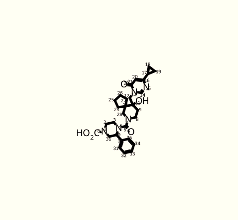 O=C(O)N1CCN(C(=O)N2CCC(O)(Cn3cnc(C4CC4)cc3=O)C3(CCCC3)C2)C(c2ccccc2)C1